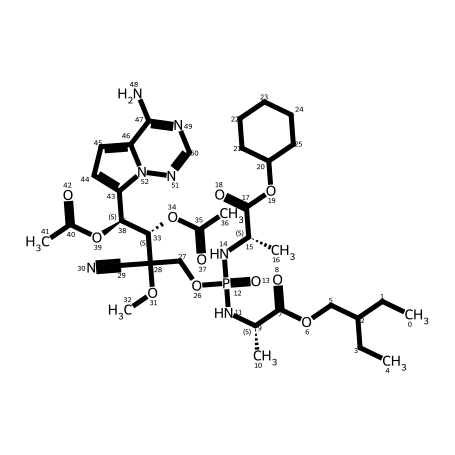 CCC(CC)COC(=O)[C@H](C)NP(=O)(N[C@@H](C)C(=O)OC1CCCCC1)OCC(C#N)(OC)[C@@H](OC(C)=O)[C@@H](OC(C)=O)c1ccc2c(N)ncnn12